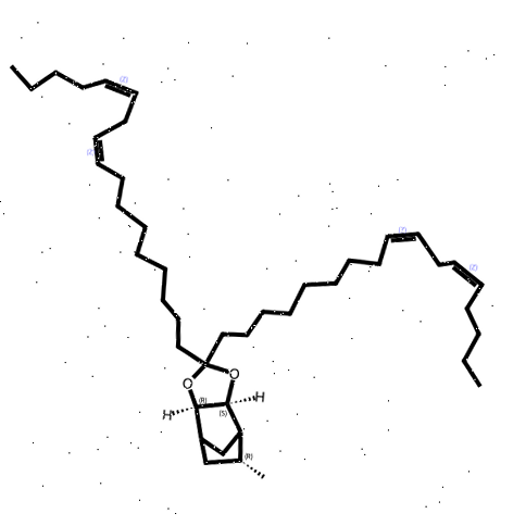 CCCC/C=C\C/C=C\CCCCCCCCC1(CCCCCCCC/C=C\C/C=C\CCCC)O[C@@H]2C3CC([C@H](C)C3)[C@@H]2O1